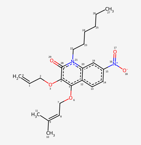 C=CCOc1c(OCC=C(C)C)c2ccc([N+](=O)[O-])cc2n(CCCCCC)c1=O